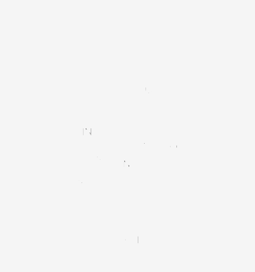 CCCn1c(=S)[nH]c2c(oc3ccccc32)c1=O